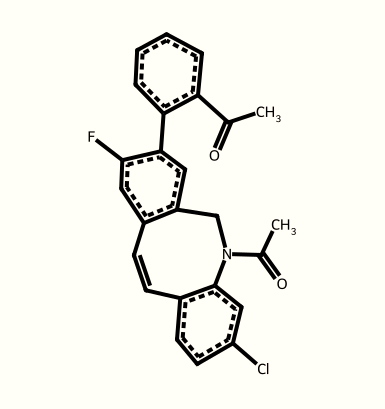 CC(=O)c1ccccc1-c1cc2c(cc1F)/C=C\c1ccc(Cl)cc1N(C(C)=O)C2